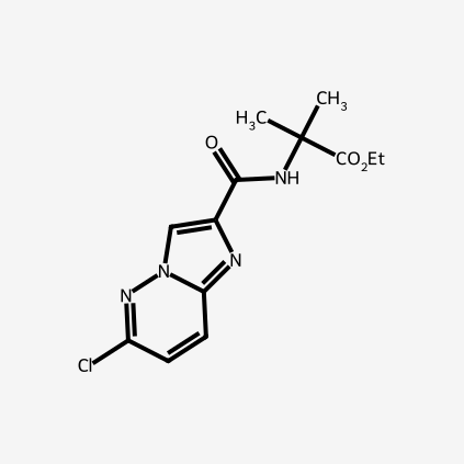 CCOC(=O)C(C)(C)NC(=O)c1cn2nc(Cl)ccc2n1